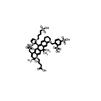 Cn1cc[n+](CCCCS(=O)(=O)O)c1C1=c2cc3c(cc2C(C)(C)c2cc4c(cc21)C(CS(=O)(=O)O)=CC(C)(C)N4CCCC(=O)O)=[N+](Cc1ccc(S(=O)(=O)O)cc1S(=O)(=O)O)CCC3